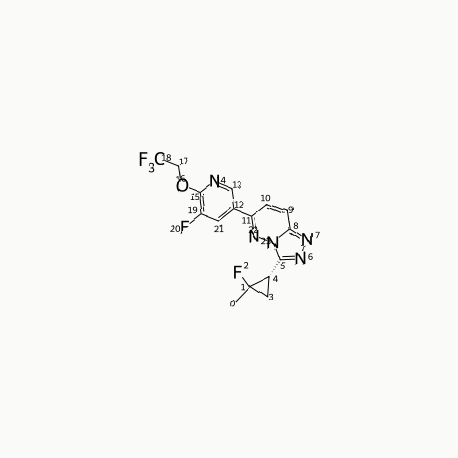 CC1(F)C[C@H]1c1nnc2ccc(-c3cnc(OCC(F)(F)F)c(F)c3)nn12